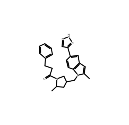 Cc1cc2cc(-c3cn[nH]n3)ccc2n1CC1CC(C)N(C(=O)CCc2ccccc2)C1